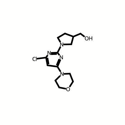 OCC1CCN(c2nc(Cl)cc(N3CCOCC3)n2)C1